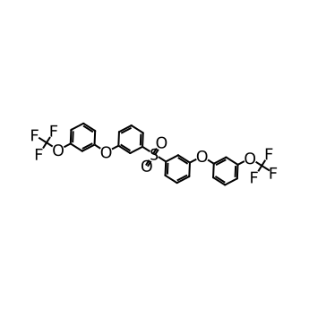 O=S(=O)(c1cccc(Oc2cccc(OC(F)(F)F)c2)c1)c1cccc(Oc2cccc(OC(F)(F)F)c2)c1